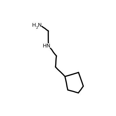 NCNCCC1CCCC1